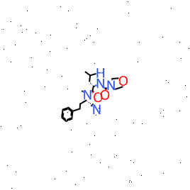 CC(C)C[C@H](NC(=O)N1CCOCC1)C(=O)N(C)[C@H](C#N)CCc1ccccc1